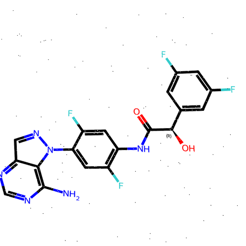 Nc1ncnc2cnn(-c3cc(F)c(NC(=O)[C@H](O)c4cc(F)cc(F)c4)cc3F)c12